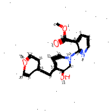 COC(=O)c1cccnc1N1CCC(CC2CCOCC2)C(O)C1